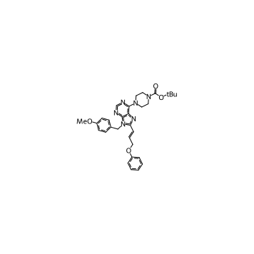 COc1ccc(Cn2c(/C=C/COc3ccccc3)nc3c(N4CCN(C(=O)OC(C)(C)C)CC4)ncnc32)cc1